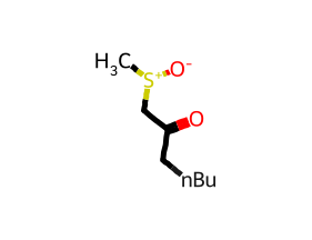 CCCCCC(=O)C[S+](C)[O-]